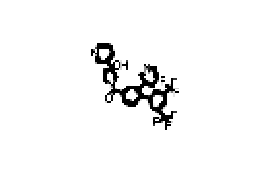 O=C(c1ccc(-c2cc(C(F)(F)F)cc(C(F)(F)F)c2)c(-c2cccnc2)c1)N1CCC(O)(c2cccnc2)C1